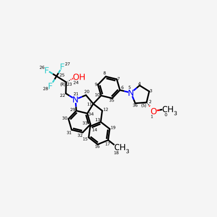 CO[C@H]1CCN(c2cccc(C3(Cc4cccc(C)c4)CN(C[C@@H](O)C(F)(F)F)c4ccccc43)c2)C1